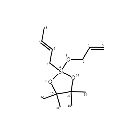 C=CCO[Si]1(CC=CC)OC(C)(C)C(C)(C)O1